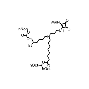 CCCCCCCCCOC(=O)OCC(CC)CCCCN(CCCCCCCC(=O)OC(CCCCCCCC)CCCCCCCC)CCCNc1c(NC)c(=O)c1=O